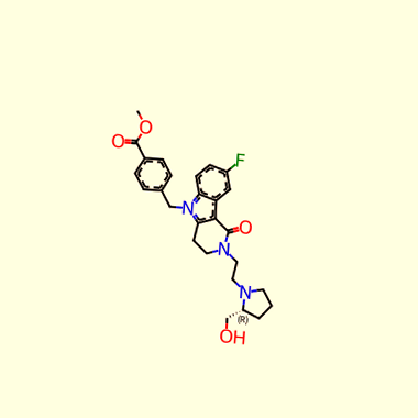 COC(=O)c1ccc(Cn2c3c(c4cc(F)ccc42)C(=O)N(CCN2CCC[C@@H]2CO)CC3)cc1